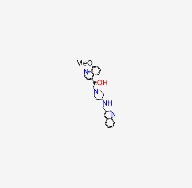 COc1cccc2c([C@@H](O)CN3CCC(NCc4cnc5ccccc5c4)CC3)ccnc12